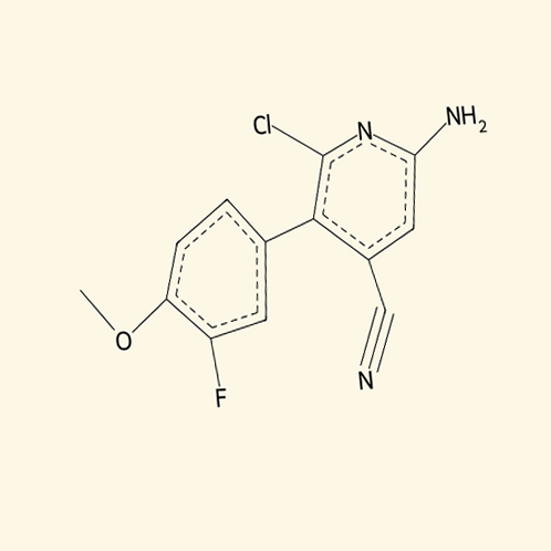 COc1ccc(-c2c(C#N)cc(N)nc2Cl)cc1F